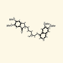 COc1cc2c(cc1OC)C(=O)N(CCCN(C)CCc1cncc3cc(OC)c(OC)cc13)C2